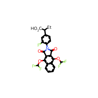 CCC(C(=O)O)c1ccc(N2C(=O)c3c(c(OC(F)F)c4ccccc4c3OC(F)F)C2=O)c(F)c1